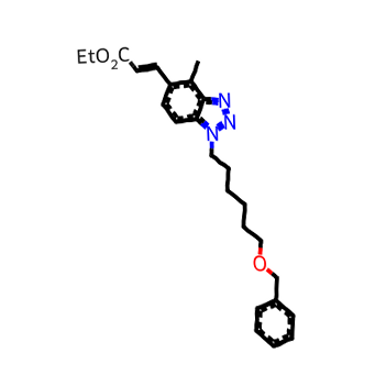 CCOC(=O)/C=C/c1ccc2c(nnn2CCCCCCOCc2ccccc2)c1C